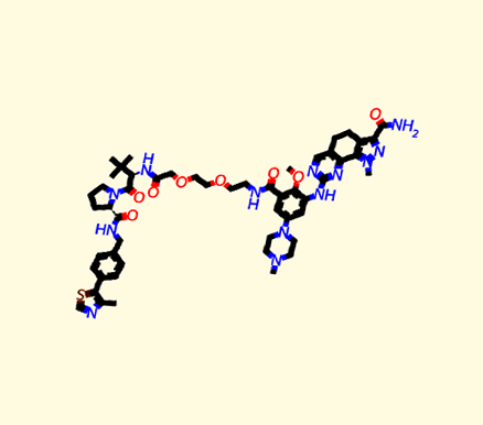 COc1c(Nc2ncc3c(n2)-c2c(c(C(N)=O)nn2C)CC3)cc(N2CCN(C)CC2)cc1C(=O)NCCOCCOCC(=O)N[C@H](C(=O)N1CCC[C@H]1C(=O)NCc1ccc(-c2scnc2C)cc1)C(C)(C)C